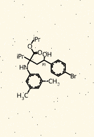 Cc1cc(C)cc(NC(C[C@@H](O)c2ccc(Br)cc2)(C(=O)OC(C)C)C(C)C)c1